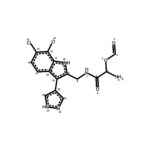 NC(OC=O)C(=O)NCc1[nH]c2c(Cl)c(Cl)ccc2c1-c1cn[nH]c1